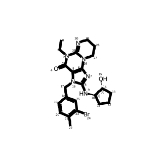 CCN1C(=O)c2c(nc(N[C@@H]3CCC[C@H]3O)n2Cc2ccc(C)c(Br)c2)N2CCCN=C12